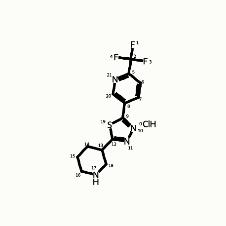 Cl.FC(F)(F)c1ccc(-c2nnc(C3CCCNC3)s2)cn1